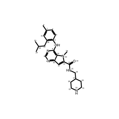 Cc1ccc(Nc2ncnc3cc(C(=O)NCC4CCNCC4)n(C)c23)c(CC(C)C)c1